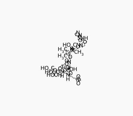 Cc1c(-c2ccc(N3CCc4cccc(C(=O)Nc5nc6ncccc6s5)c4C3)nc2C(=O)O)cnn1CC12CC3(C)CC(C)(C1)CC(OCCN(CCCP(=O)(O)O)C(=O)OC/C=C/c1ccc(O[C@@H]4O[C@H](C(=O)O)[C@@H](O)[C@H](O)[C@H]4O)c(NC(=O)CCNC(=O)CCCCCN4C(=O)C=CC4=O)c1)(C3)C2